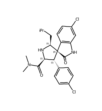 CC(C)C[C@@H]1N[C@H](C(=O)N(C)C)[C@@H](c2ccc(Cl)cc2)[C@]12C(=O)Nc1cc(Cl)ccc12